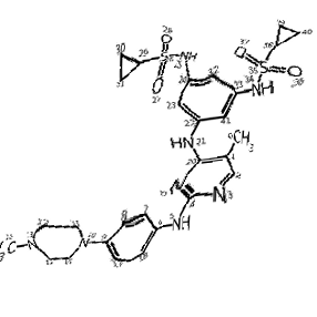 Cc1cnc(Nc2ccc(N3CCN(C)CC3)cc2)nc1Nc1cc(NS(=O)(=O)C2CC2)cc(NS(=O)(=O)C2CC2)c1